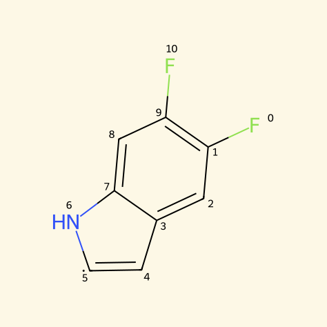 Fc1cc2c[c][nH]c2cc1F